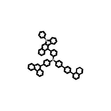 C1=Cc2cccc(-c3ccc(-c4ccc(N(c5ccc(-c6cc7ccccc7c7ccccc67)cc5)c5cccc(-c6c7ccccc7cc7c6c6ccccc6n7-c6ccccc6)c5)cc4)cc3)c2CC1